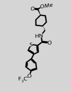 COC(=O)[C@H]1CC[C@H](CNC(=O)c2cc(-c3ccc(OC(F)(F)F)cc3)cs2)CC1